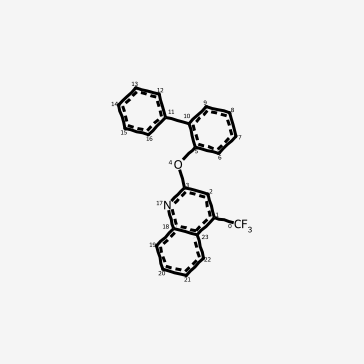 FC(F)(F)c1cc(Oc2ccccc2-c2ccccc2)nc2ccccc12